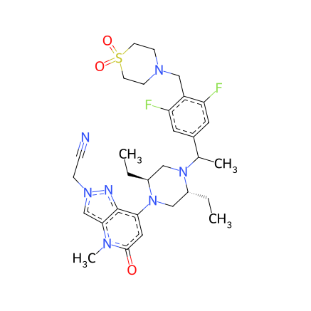 CC[C@H]1CN(C(C)c2cc(F)c(CN3CCS(=O)(=O)CC3)c(F)c2)[C@H](CC)CN1c1cc(=O)n(C)c2cn(CC#N)nc12